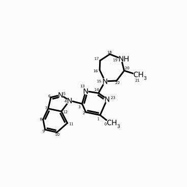 Cc1cc(-n2ncc3ccccc32)nc(N2CCCNC(C)C2)n1